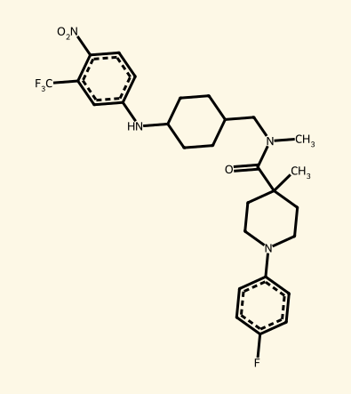 CN(CC1CCC(Nc2ccc([N+](=O)[O-])c(C(F)(F)F)c2)CC1)C(=O)C1(C)CCN(c2ccc(F)cc2)CC1